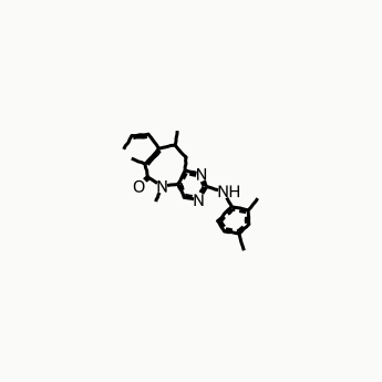 C/C=C\C1=C(/C)C(=O)N(C)c2cnc(Nc3ccc(C)cc3C)nc2CC1C